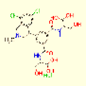 CN1Cc2c(Cl)cc(Cl)cc2C(c2cc(C(=O)NC(CO)C(O)O)cc(C(=O)NC(CO)C(O)O)c2)C1.Cl